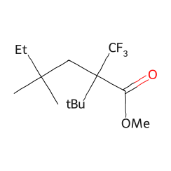 CCC(C)(C)CC(C(=O)OC)(C(C)(C)C)C(F)(F)F